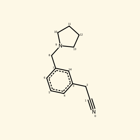 N#CCc1cccc(CN2CCCC2)c1